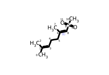 CC(C)=CCC/C(C)=C/S(C)(=O)=O